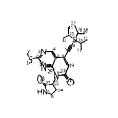 CSc1ncc2c(C#C[Si](C(C)C)(C(C)C)C(C)C)cc(=O)n(C3CCNC3=O)c2n1